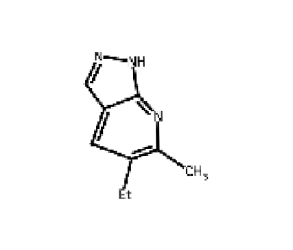 CCc1cc2cn[nH]c2nc1C